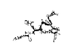 CNC(=O)N/C=C(\C=O)c1cc(C2CC2)c2ncc(F)n2n1